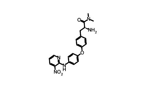 CN(C)C(=O)[C@@H](N)Cc1ccc(Oc2ccc(Nc3ncccc3[N+](=O)[O-])cc2)cc1